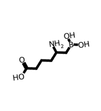 NC(CCCC(=O)O)CB(O)O